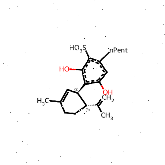 C=C(C)[C@@H]1CCC(C)=C[C@H]1c1c(O)cc(CCCCC)c(S(=O)(=O)O)c1O